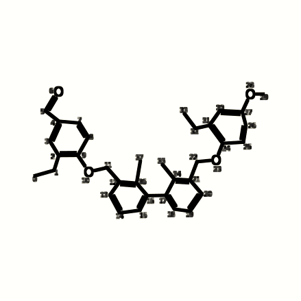 CCc1cc(C=O)ccc1OCc1cccc(-c2cccc(COc3ccc(OC)cc3CC)c2C)c1C